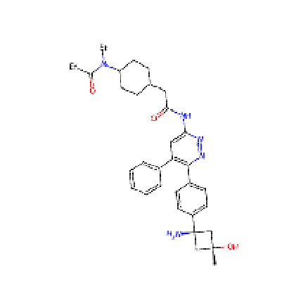 CCC(=O)N(CC)C1CCC(CC(=O)Nc2cc(-c3ccccc3)c(-c3ccc([C@]4(N)C[C@](C)(O)C4)cc3)nn2)CC1